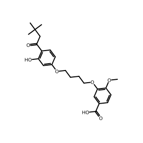 COc1ccc(C(=O)O)cc1OCCCCOc1ccc(C(=O)CC(C)(C)C)c(O)c1